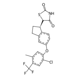 Cc1cc(Oc2ccc3c(c2)CC[C@H]3C2SC(=O)NC2=O)c(Cl)cc1C(F)(F)F